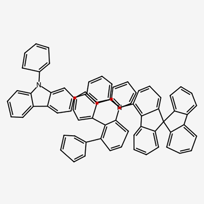 c1ccc(-c2ccccc2-c2c(-c3ccccc3)cccc2N(c2cccc(-c3ccc4c5ccccc5n(-c5ccccc5)c4c3)c2)c2cccc3c2-c2ccccc2C32c3ccccc3-c3ccccc32)cc1